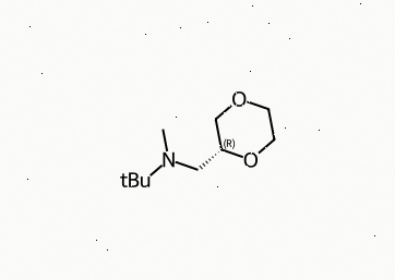 CN(C[C@@H]1COCCO1)C(C)(C)C